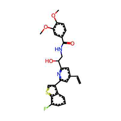 C=Cc1cc(-c2csc3c(F)cccc23)nc(C(O)CNC(=O)c2ccc(OC)c(OC)c2)c1